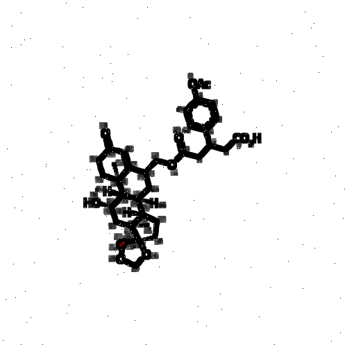 CC(=O)Oc1ccc(C(CC(=O)O)CC(=O)OC[C@H]2C[C@@H]3[C@H]([C@@H](O)C[C@@]4(C)[C@H]3CC[C@@]43OCOC34COCO4)[C@@]3(C)CCC(=O)C=C23)cc1